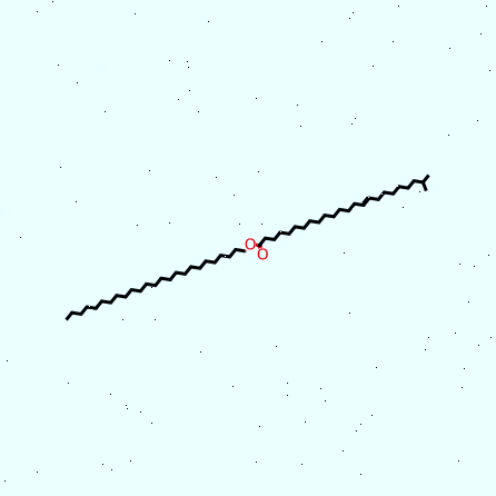 CCCCCCCCCCCCCCCCCCCCCCCCCOC(=O)CCCCCCCCCCCCCC=CCCCCCCC(C)C